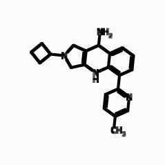 Cc1ccc(-c2cccc3c2NC2=C(CN(C4CCC4)C2)C3N)nc1